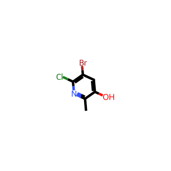 Cc1nc(Cl)c(Br)cc1O